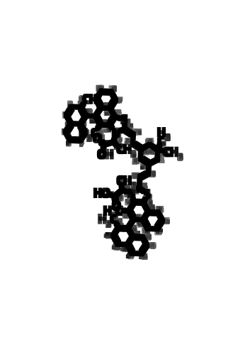 Cc1ccc2ccccc2c1-c1c(C)c2c(c3ccccc13)SC(=CC=C1C=C(C=Cc3sc4c5ccccc5c(-c5c(C)ccc6ccccc56)c(C)c4[n+]3C(C)C(=O)O)CC(C)(C)C1)N2C(C)C(=O)O